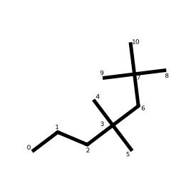 CCCC(C)(C)CC(C)(C)C